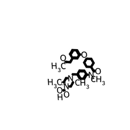 CC(=O)Cc1cccc(OC2CCC(C(=O)N(C)c3ccc(CN4CCN(C(=O)O)[C@@H](C)C4)c(C)c3)CC2)c1